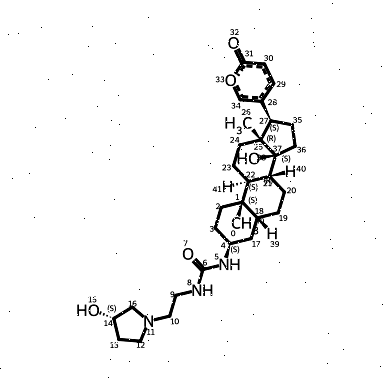 C[C@]12CC[C@H](NC(=O)NCCN3CC[C@H](O)C3)C[C@H]1CC[C@@H]1[C@@H]2CC[C@]2(C)[C@@H](c3ccc(=O)oc3)CC[C@]12O